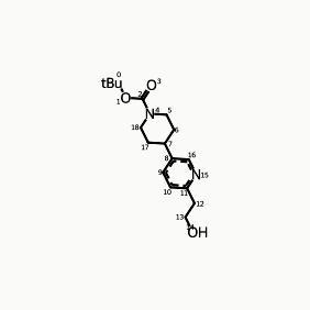 CC(C)(C)OC(=O)N1CCC(c2ccc(CCO)nc2)CC1